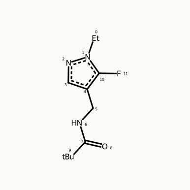 CCn1ncc(CNC(=O)C(C)(C)C)c1F